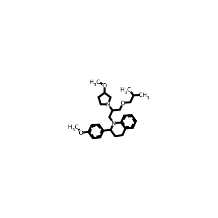 COc1ccc(C2CCc3ccccc3N2CC(COCC(C)C)N2CCC(OC)C2)cc1